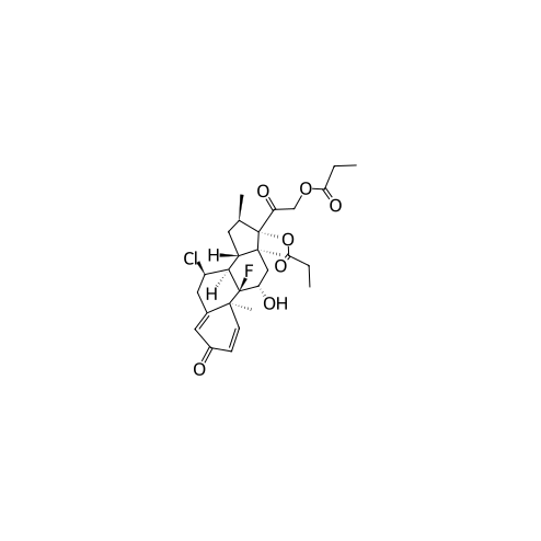 CCC(=O)OCC(=O)[C@]1(OC(=O)CC)[C@H](C)C[C@H]2[C@@H]3[C@H](Cl)CC4=CC(=O)C=C[C@]4(C)[C@@]3(F)[C@@H](O)C[C@@]21C